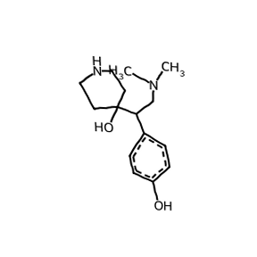 CN(C)CC(c1ccc(O)cc1)C1(O)CCNCC1